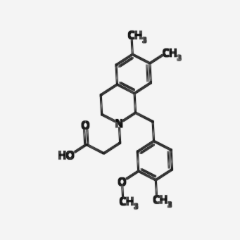 COc1cc(CC2c3cc(C)c(C)cc3CCN2CCC(=O)O)ccc1C